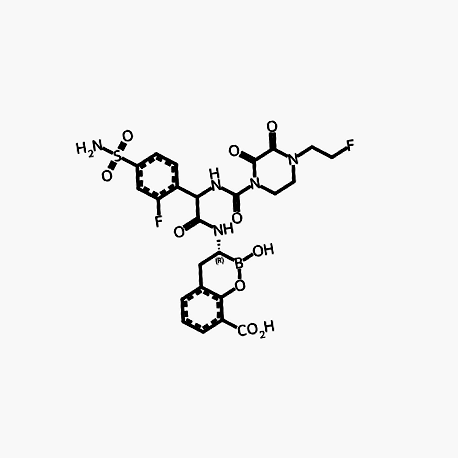 NS(=O)(=O)c1ccc(C(NC(=O)N2CCN(CCF)C(=O)C2=O)C(=O)N[C@H]2Cc3cccc(C(=O)O)c3OB2O)c(F)c1